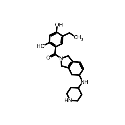 CCc1cc(C(=O)N2CC3=C(CC(NC4CCNCC4)C=C3)C2)c(O)cc1O